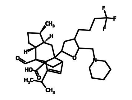 CC(C)C1=CC2CC3(C=O)[C@@H]4CC[C@@H](C)[C@H]4CC2(C2CC(CCCC(F)(F)F)C(CN4CCCCC4)O2)C13C(=O)O